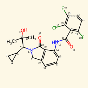 CC(C)(O)[C@H](C1CC1)N1Cc2cccc(NC(=O)c3c(F)ccc(F)c3Cl)c2C1=O